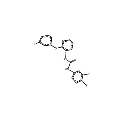 O=C(Nc1ccc(F)c(F)c1)Nc1cccnc1Oc1cccc(C(F)(F)F)c1